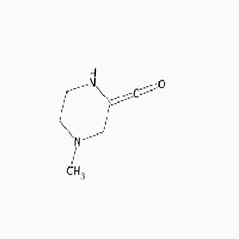 CN1CCNC(=C=O)C1